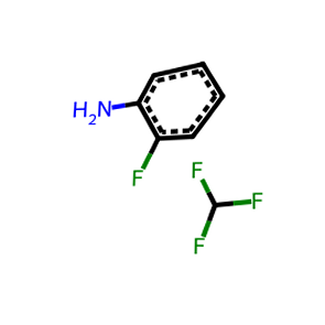 FC(F)F.Nc1ccccc1F